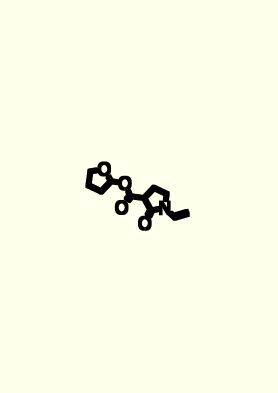 C=CN1CCC(C(=O)OC2CCCO2)C1=O